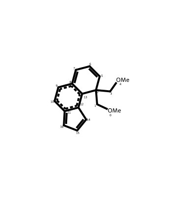 COCC1(COC)C=CC=c2ccc3c(c21)C=CC=3